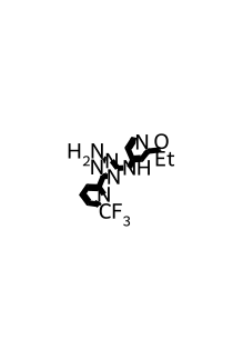 CCC(=O)c1cc(Nc2nc(N)nc(-c3cccc(C(F)(F)F)n3)n2)ccn1